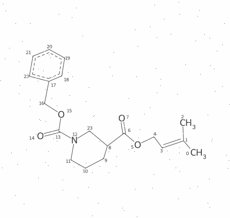 CC(C)=CCOC(=O)C1CCCN(C(=O)OCc2ccccc2)C1